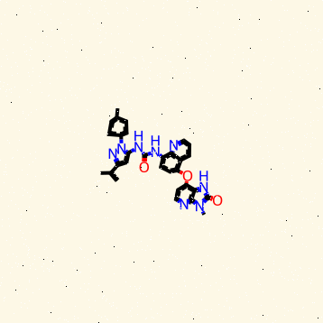 C=C(C)c1cc(NC(=O)Nc2ccc(Oc3ccnc4c3[nH]c(=O)n4C)c3cccnc23)n(-c2ccc(C)cc2)n1